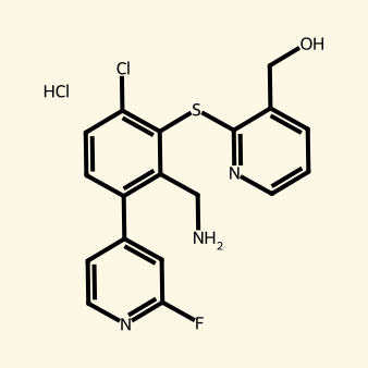 Cl.NCc1c(-c2ccnc(F)c2)ccc(Cl)c1Sc1ncccc1CO